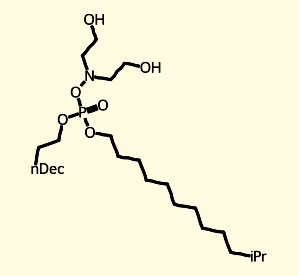 CCCCCCCCCCCCOP(=O)(OCCCCCCCCCCC(C)C)ON(CCO)CCO